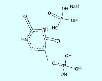 Cc1c[nH]c(=O)[nH]c1=O.O=P(O)(O)O.O=P(O)(O)O.[NaH]